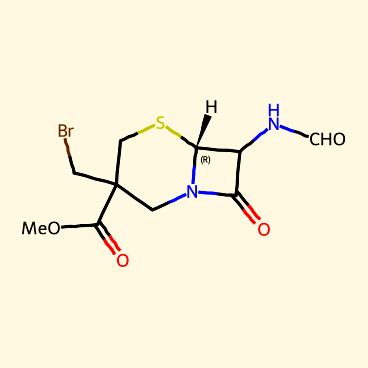 COC(=O)C1(CBr)CS[C@@H]2C(NC=O)C(=O)N2C1